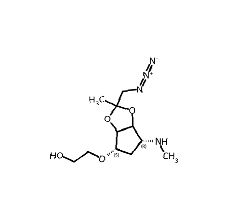 CN[C@@H]1C[C@H](OCCO)C2OC(C)(CN=[N+]=[N-])OC21